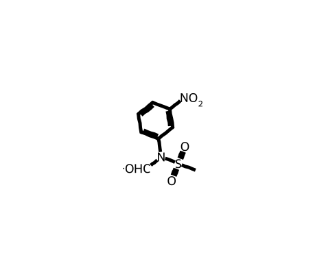 CS(=O)(=O)N([C]=O)c1cccc([N+](=O)[O-])c1